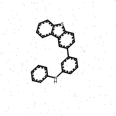 c1ccc(Nc2cccc(-c3ccc4sc5ccccc5c4c3)c2)cc1